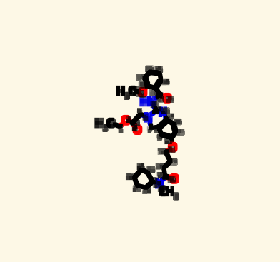 CCOC(=O)CN1Cc2cc(OCCCC(=O)N(C)C3CCCCC3)ccc2N=C1NC(=O)c1ccccc1OC